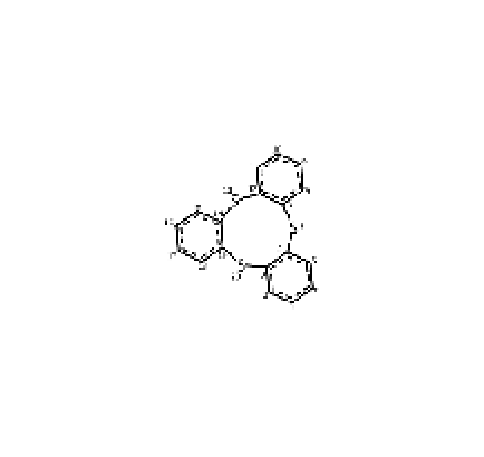 c1ccc2c(c1)Sc1ccccc1Sc1ccccc1S2